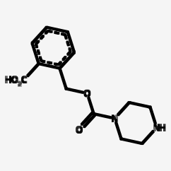 O=C(O)c1ccccc1COC(=O)N1CCNCC1